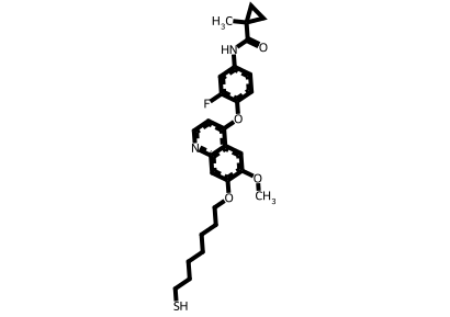 COc1cc2c(Oc3ccc(NC(=O)C4(C)CC4)cc3F)ccnc2cc1OCCCCCCCS